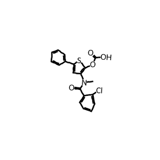 CN(C(=O)c1ccccc1Cl)c1cc(-c2ccccc2)sc1OC(=O)O